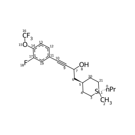 CCC[Si@]1(C)CC[C@@H](CC(O)C#Cc2ccc(OC(F)(F)F)c(F)c2)CC1